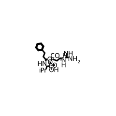 CC(C)C(NC(=O)CCc1ccccc1)P(=O)(O)O[C@@H](CCNC(=N)N)C(=O)O